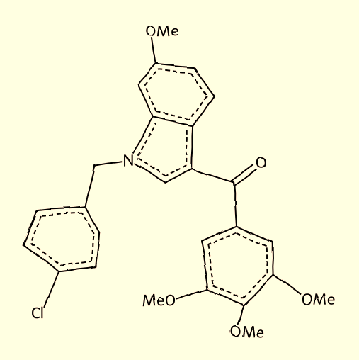 COc1ccc2c(C(=O)c3cc(OC)c(OC)c(OC)c3)cn(Cc3ccc(Cl)cc3)c2c1